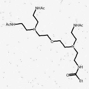 CCC(=O)NCCN(CCNC(C)=O)CCOCCN(CCNC(C)=O)CCNC(C)=O